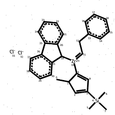 CC1C=C([Si](C)(C)C)C=[C]1/[Zr+2](=[CH]/Cc1ccccc1)[CH]1c2ccccc2-c2ccccc21.[Cl-].[Cl-]